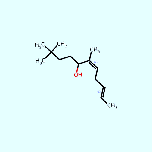 C/C=C/C/C=C(/C)C(O)CCC(C)(C)C